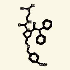 CCN(CC)CCNC(=O)[C@@H]1CC(=NOCc2ccc(OC)cc2)CN1C(=O)C(c1ccccc1)c1ccccc1